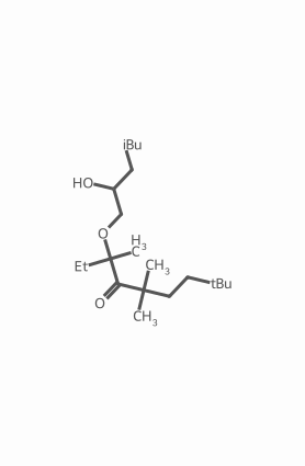 CCC(C)CC(O)COC(C)(CC)C(=O)C(C)(C)CCC(C)(C)C